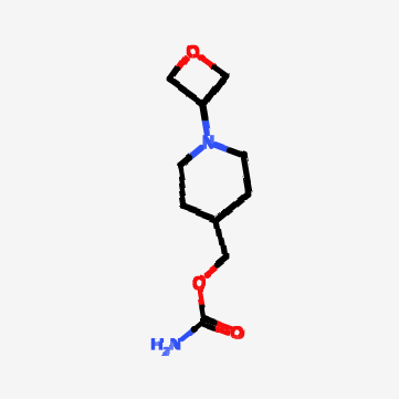 NC(=O)OCC1CCN(C2COC2)CC1